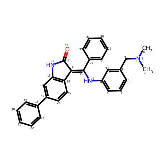 CN(C)Cc1cccc(NC(=C2C(=O)Nc3cc(-c4ccccc4)ccc32)c2ccccc2)c1